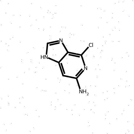 Nc1cc2[nH]cnc2c(Cl)n1